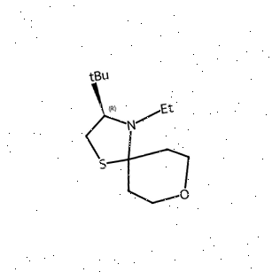 CCN1[C@H](C(C)(C)C)CSC12CCOCC2